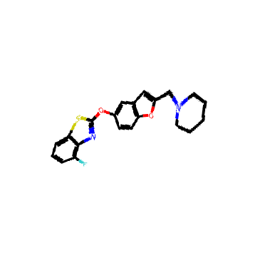 Fc1cccc2sc(Oc3ccc4oc(CN5CCCCC5)cc4c3)nc12